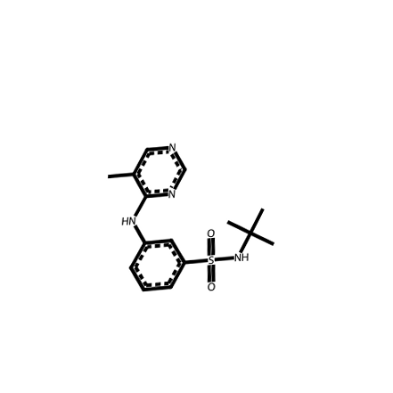 Cc1cncnc1Nc1cccc(S(=O)(=O)NC(C)(C)C)c1